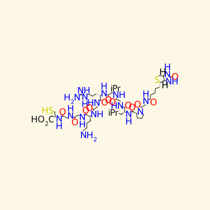 CC(C)C[C@H](NC(=O)[C@@H]1CCCN1C(=O)CNC(=O)CCCC[C@@H]1SC[C@@H]2NC(=O)N[C@@H]21)C(=O)NCC(=O)N[C@H](C(=O)N[C@@H](CCCNC(=N)N)C(=O)NCC(=O)N[C@@H](CCCCN)C(=O)NCC(=O)NCC(=O)N[C@@H](CS)C(=O)O)C(C)C